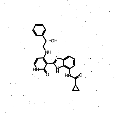 O=C(Nc1cccc2nc(-c3c(NC[C@@H](O)c4ccccc4)cc[nH]c3=O)[nH]c12)C1CC1